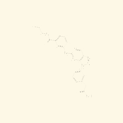 NC(=O)Cc1cccc(-n2nnc3cnc(Nc4cccc(C(=O)NCCO)c4)nc32)c1